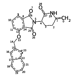 C=C1CCC(N2C(=O)c3cccc(OCc4cc5ccccc5s4)c3C2=O)C(=O)N1